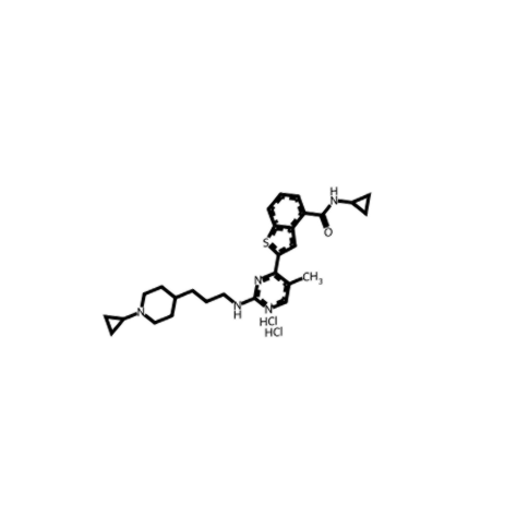 Cc1cnc(NCCCC2CCN(C3CC3)CC2)nc1-c1cc2c(C(=O)NC3CC3)cccc2s1.Cl.Cl